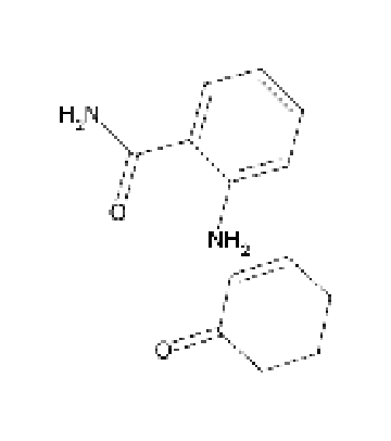 NC(=O)c1ccccc1N.O=C1C=CCCC1